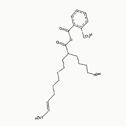 CCCCCCCCC=CCCCCCCC(CCCCCCCCCCCCCC)C(=O)OC(=O)c1ccccc1C(=O)O